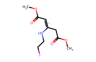 COC(=O)/C=C(/CC(=O)OC)NCCI